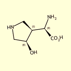 N[C@@H](C(=O)O)[C@@H]1CNC[C@@H]1O